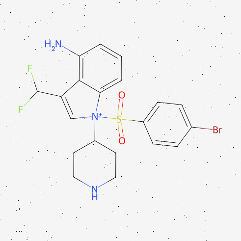 Nc1cccc2c1C(C(F)F)=C[N+]2(C1CCNCC1)S(=O)(=O)c1ccc(Br)cc1